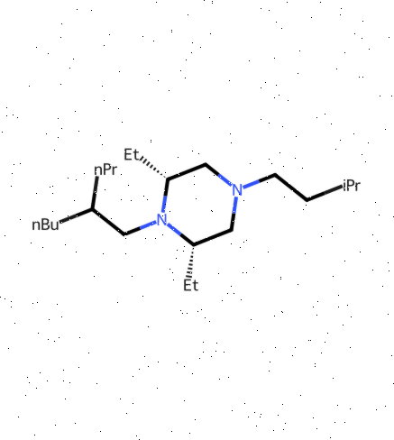 CCCCC(CCC)CN1[C@H](CC)CN(CCC(C)C)C[C@@H]1CC